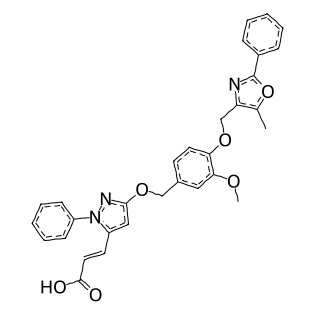 COc1cc(COc2cc(C=CC(=O)O)n(-c3ccccc3)n2)ccc1OCc1nc(-c2ccccc2)oc1C